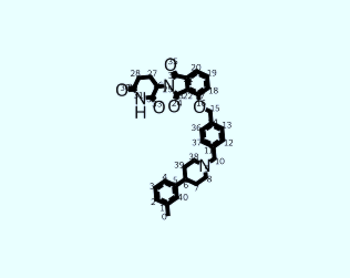 Cc1cccc(C2CCN(Cc3ccc(COc4cccc5c4C(=O)N(C4CCC(=O)NC4=O)C5=O)cc3)CC2)c1